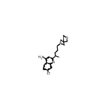 CC(CCCN1CC2(COC2)C1)c1cc(N)c2ccc(Cl)cc2n1